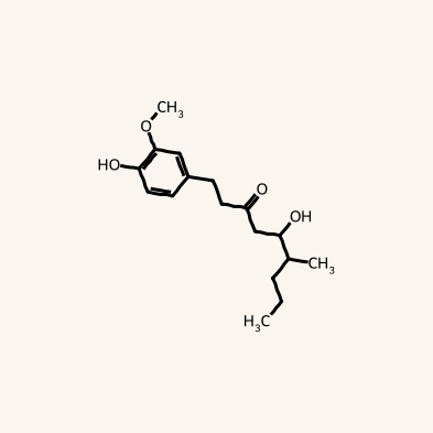 CCCC(C)C(O)CC(=O)CCc1ccc(O)c(OC)c1